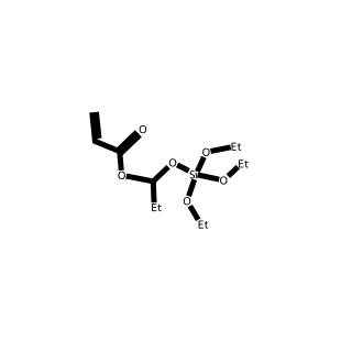 C=CC(=O)OC(CC)O[Si](OCC)(OCC)OCC